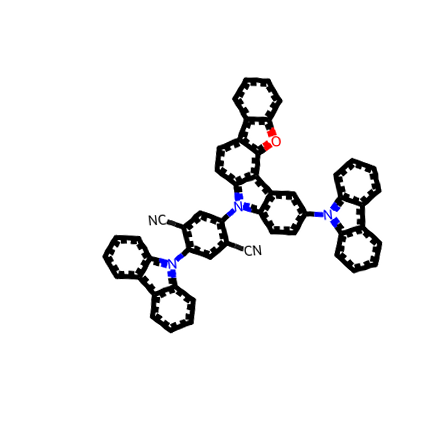 N#Cc1cc(-n2c3ccc(-n4c5ccccc5c5ccccc54)cc3c3c4oc5ccccc5c4ccc32)c(C#N)cc1-n1c2ccccc2c2ccccc21